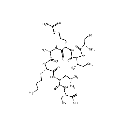 CC[C@H](C)[C@H](NC(=O)[C@@H](N)CS)C(=O)N[C@@H](CCCNC(=N)N)C(=O)N[C@@H](C)C(=O)N[C@@H](CCCCN)C(=O)N[C@@H](CC(C)C)C(=O)N[C@@H](CS)C(=O)O